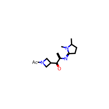 C=C(/N=C1/CCC(C)N1C)C(=O)C1CN(C(C)=O)C1